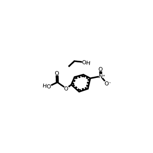 CCO.O=C(O)Oc1ccc([N+](=O)[O-])cc1